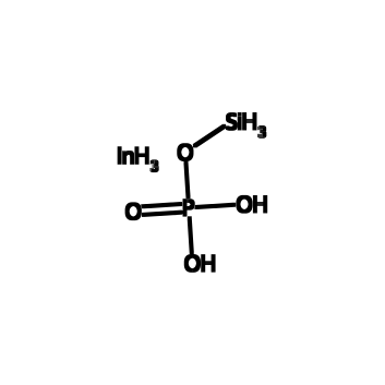 O=P(O)(O)O[SiH3].[InH3]